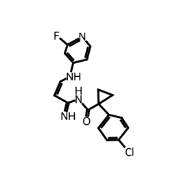 N=C(/C=C\Nc1ccnc(F)c1)NC(=O)C1(c2ccc(Cl)cc2)CC1